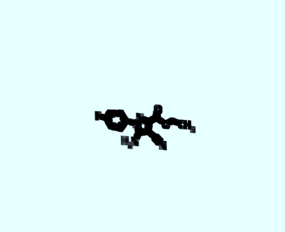 CCOC(=O)c1nn(-c2ccc(F)cc2)c(N)c1C#N